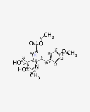 CCOC(=O)/C=C/c1c(CCc2ccc(OC)cc2)nc(C)c(O)c1CO